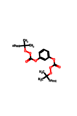 CCCCCC(C)(C)OOC(=O)Oc1cccc(OC(=O)OOC(C)(C)CCCCC)c1